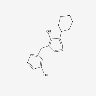 Oc1cccc(Cc2cccc(C3CCCCC3)c2O)c1